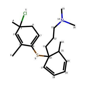 CC1=CC(C)(Cl)CC=C1SC1(CCCN(C)C)C=CC=CC1C